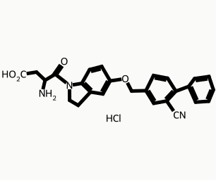 Cl.N#Cc1cc(COc2ccc3c(c2)CCN3C(=O)C(N)CC(=O)O)ccc1-c1ccccc1